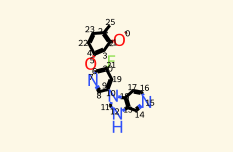 COc1cc(Oc2ncc(N3CNc4cnccc43)cc2F)ccc1C